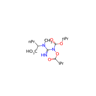 CCCOC(=O)N(OC(=O)C(C)C)C(=N)N(C)C(CCC)C(=O)O